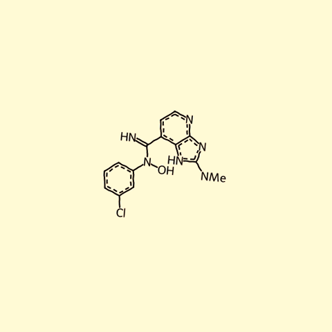 CNc1nc2nccc(C(=N)N(O)c3cccc(Cl)c3)c2[nH]1